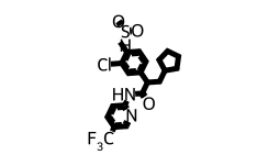 O=C(Nc1ccc(C(F)(F)F)cn1)C(CC1CCCC1)c1ccc(C[SH](=O)=O)c(Cl)c1